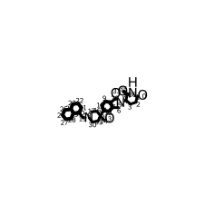 O=C1CCC(N2Cc3c(ccc4c3OCC43CCN(Cc4cccc5ccccc45)CC3)C2=O)C(=O)N1